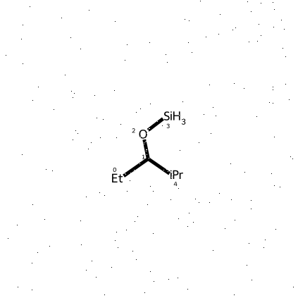 CCC(O[SiH3])C(C)C